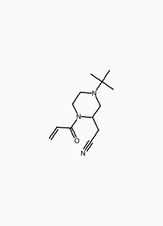 C=CC(=O)N1CCN(C(C)(C)C)CC1CC#N